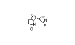 Fc1cc(-c2csc3ccc(Cl)nc23)ccn1